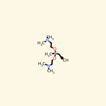 C#CC[Si](C)(OCCN(C)C)OCCN(C)C